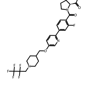 NC(=O)[C@@H]1CCCN1C(=O)c1ccc(-c2ccc(OCC3CCN(CC(F)(F)C(F)(F)F)CC3)cn2)cc1F